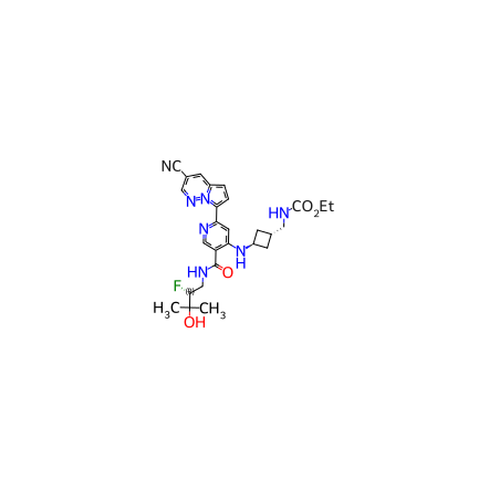 CCOC(=O)NC[C@H]1C[C@H](Nc2cc(-c3ccc4cc(C#N)cnn34)ncc2C(=O)NC[C@@H](F)C(C)(C)O)C1